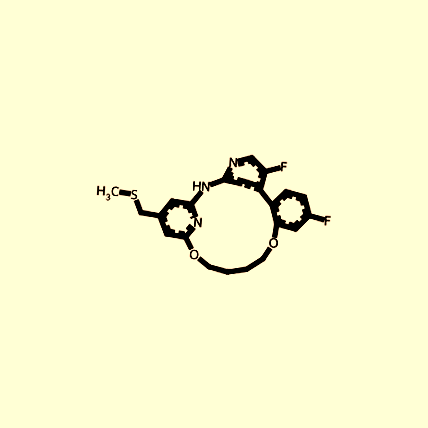 CSCc1cc2nc(c1)OCCCCOc1cc(F)ccc1-c1cc(ncc1F)N2